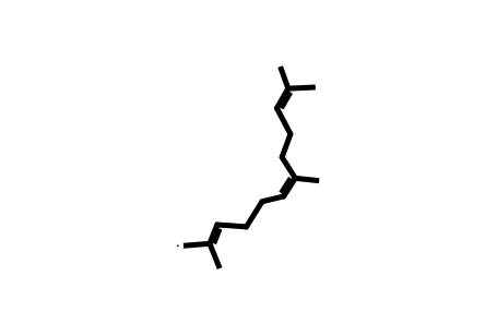 [CH2]C(C)=CCCC=C(C)CCC=C(C)C